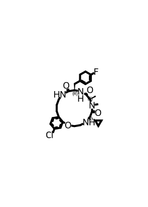 C[C@@H]1C(=O)N[C@H](CC2=CC=C(F)CC2)C(=O)NCCCc2ccc(Cl)cc2OCCN[C@@H](C2CC2)C(=O)N1C